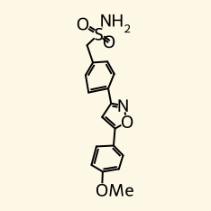 COc1ccc(-c2cc(-c3ccc(CS(N)(=O)=O)cc3)no2)cc1